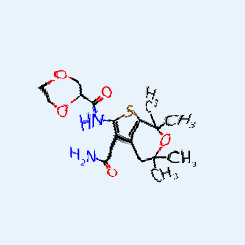 CC1(C)Cc2c(sc(NC(=O)C3COCCO3)c2C(N)=O)C(C)(C)O1